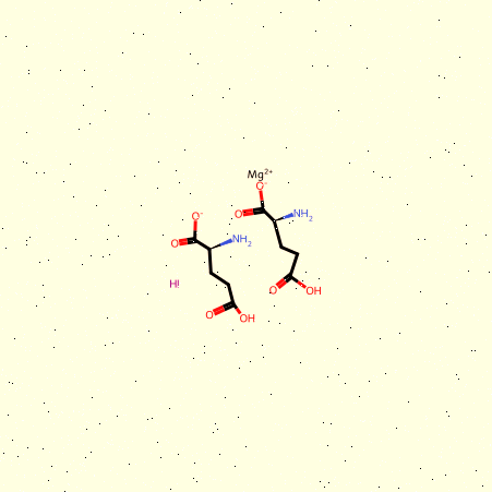 I.N[C@@H](CCC(=O)O)C(=O)[O-].N[C@@H](CCC(=O)O)C(=O)[O-].[Mg+2]